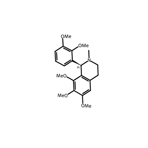 COc1cccc([C@@H]2c3c(cc(OC)c(OC)c3OC)CCN2C)c1OC